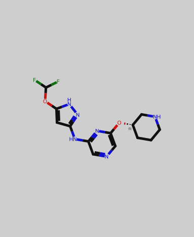 FC(F)Oc1cc(Nc2cncc(O[C@H]3CCCNC3)n2)n[nH]1